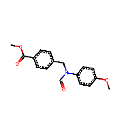 COC(=O)c1ccc(CN(C=O)c2ccc(OC)cc2)cc1